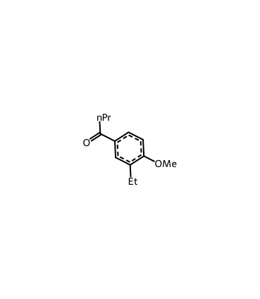 CCCC(=O)c1ccc(OC)c(CC)c1